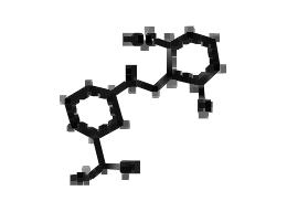 CCCC(O)c1cccc(NCc2c(CC)cccc2C(=O)O)c1